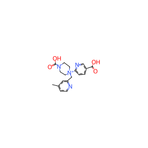 Cc1ccnc(C[N+]2(c3ccc(C(=O)O)cn3)CCN(C(=O)O)CC2)c1